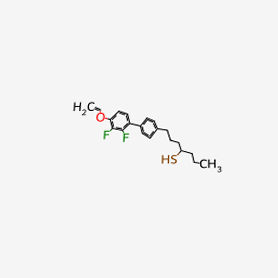 C=COc1ccc(-c2ccc(CCCC(S)CCC)cc2)c(F)c1F